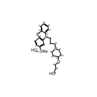 CSc1ccc2c(c1)N(CCCN1CCC(OCCO)CC1)c1ccccc1S2.Cl